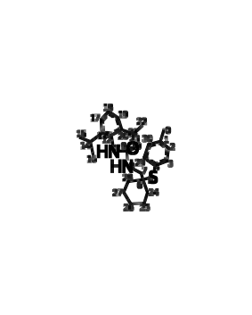 Cc1ccc(SC2(CNC(=O)Nc3c(C(C)C)cccc3C(C)C)CCCCC2)cc1